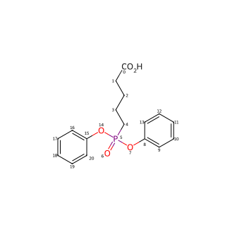 O=C(O)CCCCP(=O)(Oc1ccccc1)Oc1ccccc1